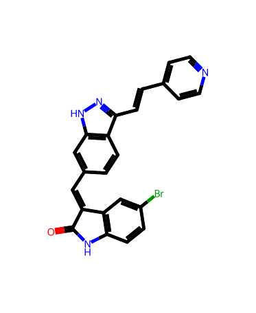 O=C1Nc2ccc(Br)cc2/C1=C\c1ccc2c(/C=C/c3ccncc3)n[nH]c2c1